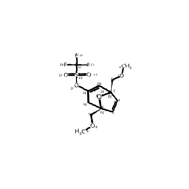 COC[C@]12C=C[C@](COC)(CC(OS(=O)(=O)C(F)(F)F)=C1)O2